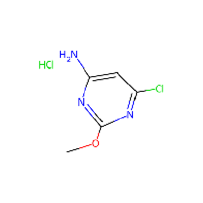 COc1nc(N)cc(Cl)n1.Cl